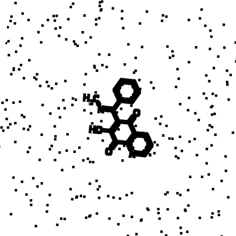 CN=C(C1=C(O)C(=O)c2ncccc2C1=O)c1ccccc1